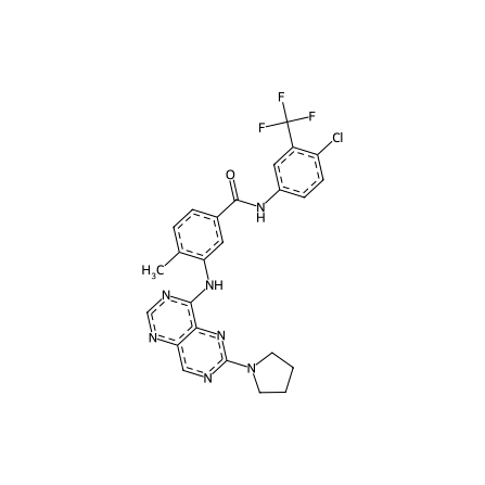 Cc1ccc(C(=O)Nc2ccc(Cl)c(C(F)(F)F)c2)cc1Nc1ncnc2cnc(N3CCCC3)nc12